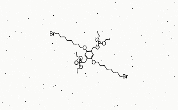 CCOP(OCC)OCc1cc(OCCCCCCCCBr)c(CP(=O)(OCC)OCC)cc1OCCCCCCCCBr